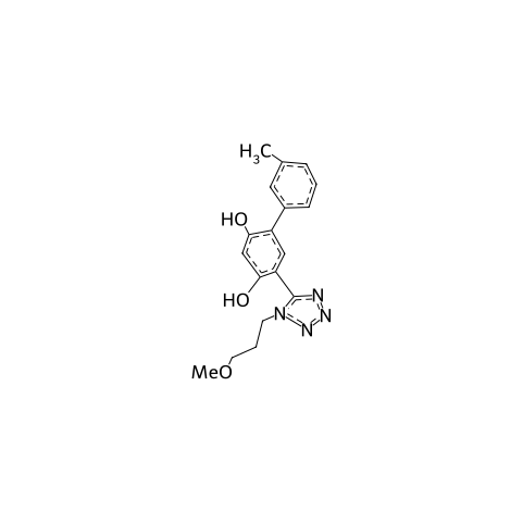 COCCCn1nnnc1-c1cc(-c2cccc(C)c2)c(O)cc1O